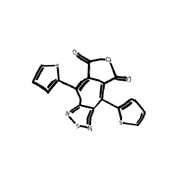 O=C1OC(=O)c2c1c(-c1cccs1)c1nsnc1c2-c1cccs1